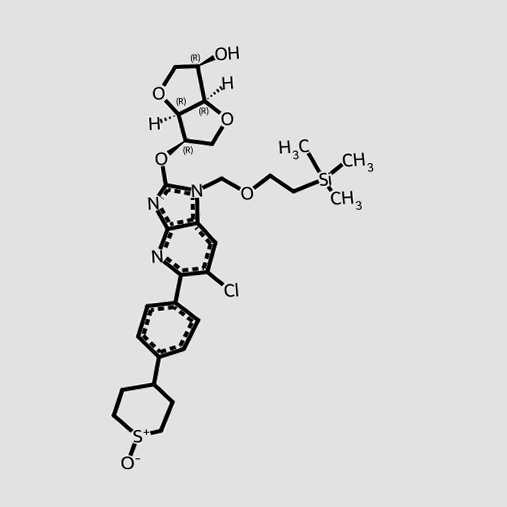 C[Si](C)(C)CCOCn1c(O[C@@H]2CO[C@H]3[C@@H]2OC[C@H]3O)nc2nc(-c3ccc(C4CC[S+]([O-])CC4)cc3)c(Cl)cc21